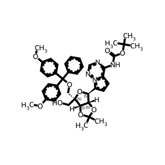 COc1ccc(C(OC[C@]2(CO)O[C@@H](c3ccc4c(NC(=O)OC(C)(C)C)ncnn34)[C@@H]3OC(C)(C)O[C@@H]32)(c2ccccc2)c2ccc(OC)cc2)cc1